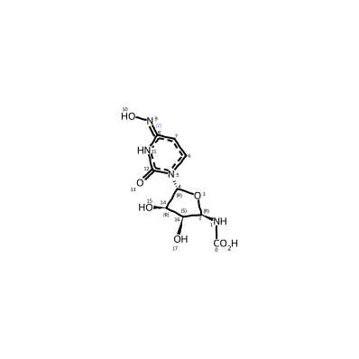 O=C(O)N[C@@H]1O[C@@H](n2cc/c(=N/O)[nH]c2=O)[C@H](O)[C@@H]1O